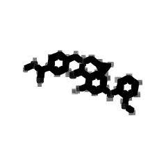 COC(=O)c1ccc(CN(CC2CC2)C(=O)c2ccc(Oc3ccccc3OC)cc2F)cc1